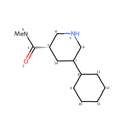 CNC(=O)[C@@H]1CNCC(C2CCCCC2)C1